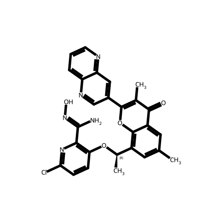 Cc1cc([C@@H](C)Oc2ccc(Cl)nc2C(N)=NO)c2oc(-c3cnc4cccnc4c3)c(C)c(=O)c2c1